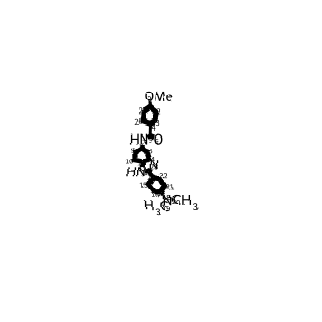 COc1ccc(C(=O)Nc2ccc3[nH]c(-c4ccc(N(C)C)cc4)nc3c2)cc1